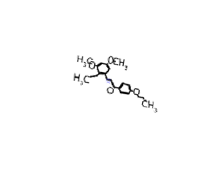 CCCOc1ccc(C(=O)/C=C/c2cc(OC)cc(OC)c2CCC)cc1